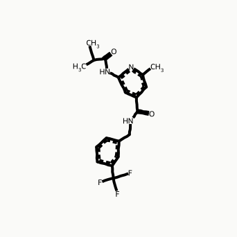 Cc1cc(C(=O)NCc2cccc(C(F)(F)F)c2)cc(NC(=O)C(C)C)n1